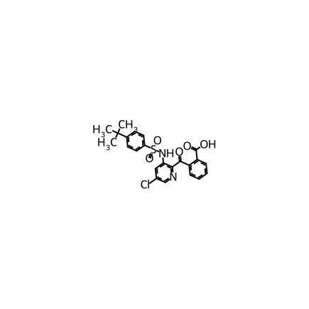 CC(C)(C)c1ccc(S(=O)(=O)Nc2cc(Cl)cnc2C(=O)c2ccccc2C(=O)O)cc1